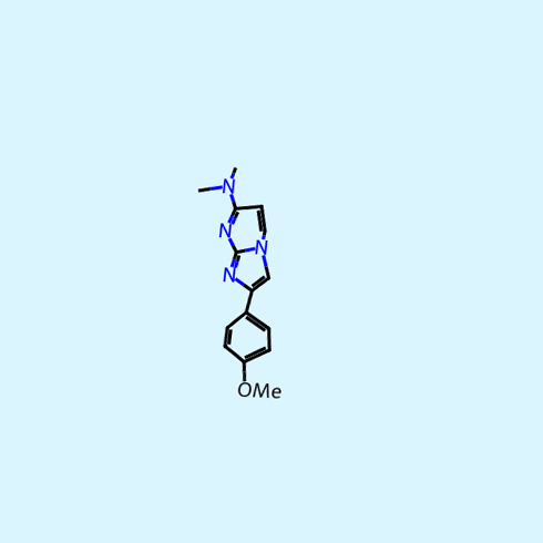 COc1ccc(-c2cn3ccc(N(C)C)nc3n2)cc1